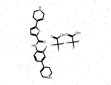 O=C(Nc1ccc(C2=CCNCC2)cc1F)c1ccc(C2=CCNCC2)s1.O=C(O)C(F)(F)F.O=C(O)C(F)(F)F